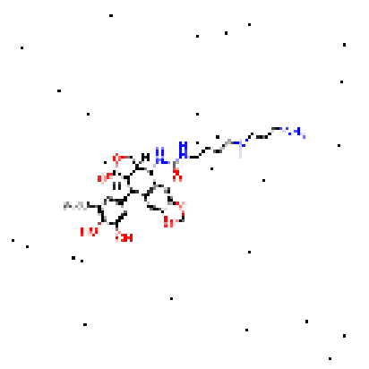 COc1cc(C2c3cc4c(cc3[C@@H](NC(=O)NCCCCNCCCN)[C@H]3COC(=O)[C@H]23)OCO4)cc(O)c1O